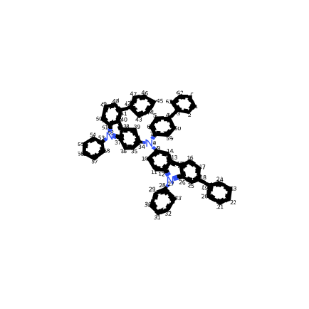 c1ccc(-c2ccc(N(c3ccc4c(c3)c3ccc(-c5ccccc5)cc3n4-c3ccccc3)c3ccc4c(c3)c3c(-c5ccccc5)cccc3n4-c3ccccc3)cc2)cc1